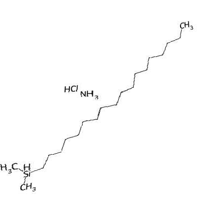 CCCCCCCCCCCCCCCCCC[SiH](C)C.Cl.N